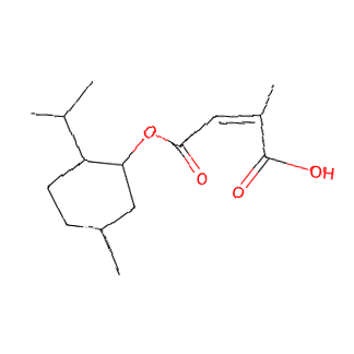 C/C(=C/C(=O)OC1CC(C)CCC1C(C)C)C(=O)O